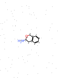 N[C@@H]1Cc2[c]cccc2CO1